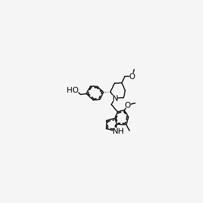 COCC1CCN(Cc2c(OC)cc(C)c3[nH]ccc23)[C@H](c2ccc(CO)cc2)C1